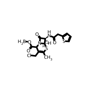 BOC(=O)C1C(CCl)=C(C)S[C@@H]2[C@H](NC(=O)Cc3cccs3)C(=O)N12